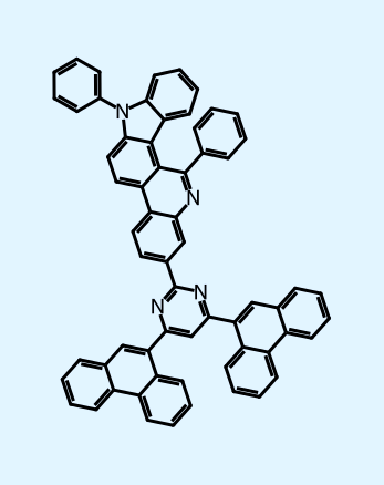 c1ccc(-c2nc3cc(-c4nc(-c5cc6ccccc6c6ccccc56)cc(-c5cc6ccccc6c6ccccc56)n4)ccc3c3ccc4c(c5ccccc5n4-c4ccccc4)c23)cc1